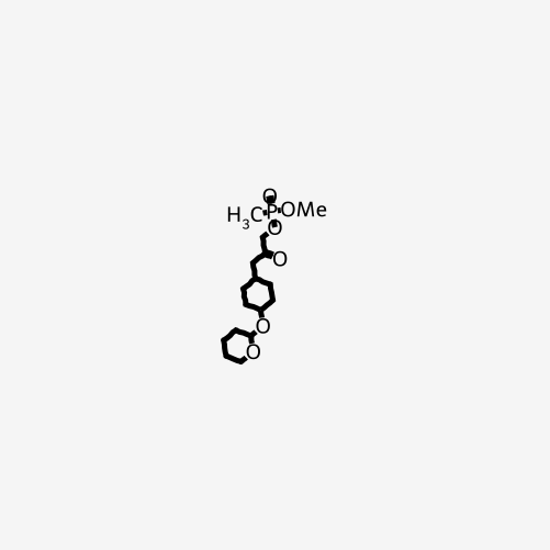 COP(C)(=O)OCC(=O)CC1CCC(OC2CCCCO2)CC1